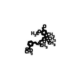 COC(=O)c1cccc(CCN(C)CCCC(C(=O)OC)(c2ccc(C=O)c(OC)c2)C(C)C)c1